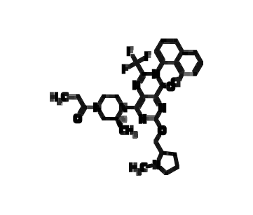 C=CC(=O)N1CCN(c2nc(OCC3CCCN3C)nc3c(=O)n(-c4cccc5cccc(Cl)c45)c(C(F)(F)F)nc23)[C@@H](C)C1